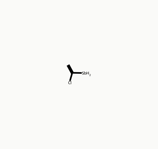 C=[C](Cl)[SbH2]